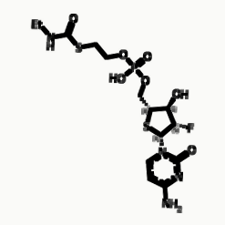 CCNC(=O)SCCOP(=O)(O)OC[C@H]1S[C@@H](n2ccc(N)nc2=O)[C@@H](F)[C@@H]1O